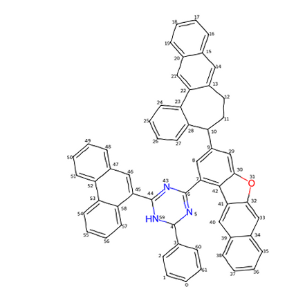 c1ccc(C2N=C(c3cc(C4CCc5cc6ccccc6cc5-c5ccccc54)cc4oc5cc6ccccc6cc5c34)N=C(c3cc4ccccc4c4ccccc34)N2)cc1